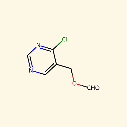 O=COCc1cncnc1Cl